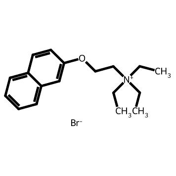 CC[N+](CC)(CC)CCOc1ccc2ccccc2c1.[Br-]